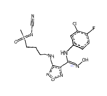 CS(=O)(CCCNc1nonc1/C(=N/O)Nc1ccc(F)c(Cl)c1)=NC#N